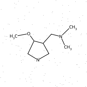 COC1C[N]CC1CN(C)C